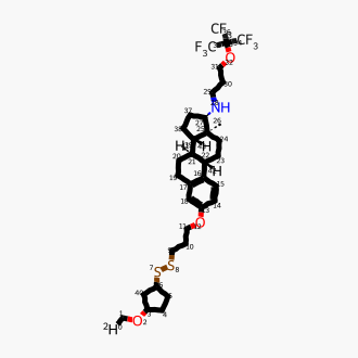 [2H]COC1CCC(SSCCCOc2ccc3c(c2)CC[C@@H]2[C@@H]3CC[C@]3(C)[C@@H](NCCCOC(C(F)(F)F)(C(F)(F)F)C(F)(F)F)CC[C@@H]23)C1